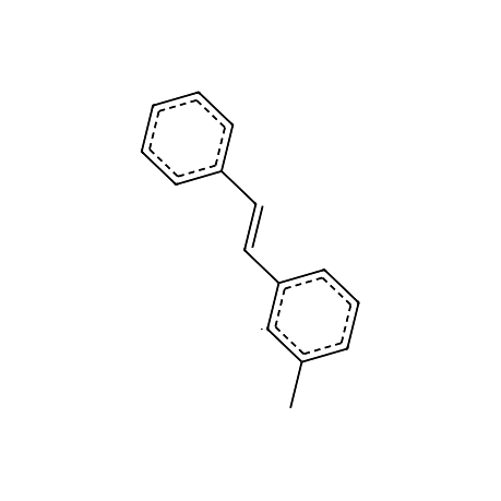 Cc1[c]c(/C=C/c2ccccc2)ccc1